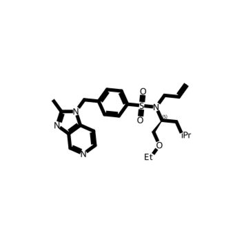 C=CCN([C@H](COCC)CC(C)C)S(=O)(=O)c1ccc(Cn2c(C)nc3cnccc32)cc1